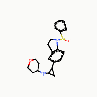 [O-][S+](c1ccccc1)N1CCc2cc(C3CC3NC3CCOCC3)ccc21